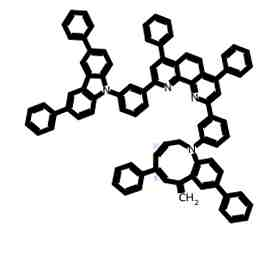 C=C1/C=C(c2ccccc2)\C=C/CN(c2cccc(-c3cc(-c4ccccc4)c4ccc5c(-c6ccccc6)cc(-c6cccc(-n7c8ccc(-c9ccccc9)cc8c8cc(-c9ccccc9)ccc87)c6)nc5c4n3)c2)c2ccc(-c3ccccc3)cc21